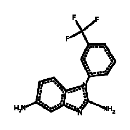 Nc1ccc2c(c1)nc(N)n2-c1cccc(C(F)(F)F)c1